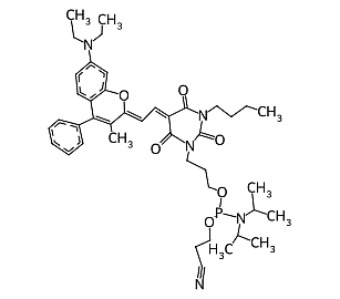 CCCCN1C(=O)/C(=C/C=C2\Oc3cc(N(CC)CC)ccc3C(c3ccccc3)=C2C)C(=O)N(CCCOP(OCCC#N)N(C(C)C)C(C)C)C1=O